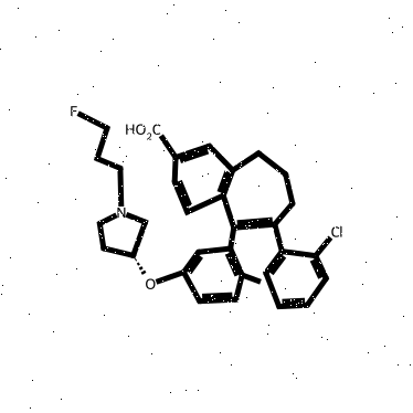 Cc1ccc(O[C@@H]2CCN(CCCF)C2)cc1C1=C(c2ccccc2Cl)CCCc2cc(C(=O)O)ccc21